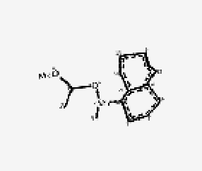 COC(C)O[SiH](C)c1cccc2ccccc12